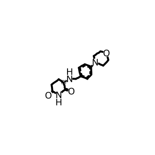 O=C1CC[C@@H](NCc2ccc(N3CCOCC3)cc2)C(=O)N1